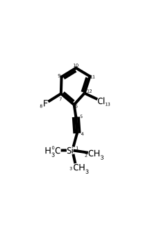 C[Si](C)(C)C#Cc1c(F)cccc1Cl